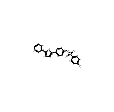 O=S(=O)(Oc1ccc(-c2cnc(-c3cccnc3)s2)cc1)c1ccc(Cl)cc1